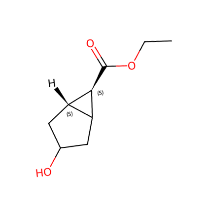 CCOC(=O)[C@H]1C2CC(O)C[C@@H]21